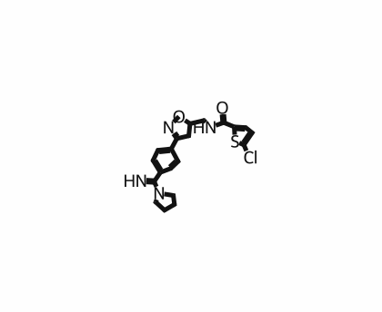 N=C(c1ccc(C2=NOC(CNC(=O)c3ccc(Cl)s3)C2)cc1)N1CCCC1